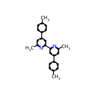 Cc1ccc(-c2cc(C)nc(-c3cc(-c4ccc(C)cc4)cc(C)n3)c2)cc1